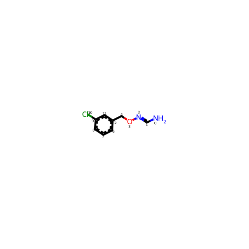 N/C=N/OCc1cccc(Cl)c1